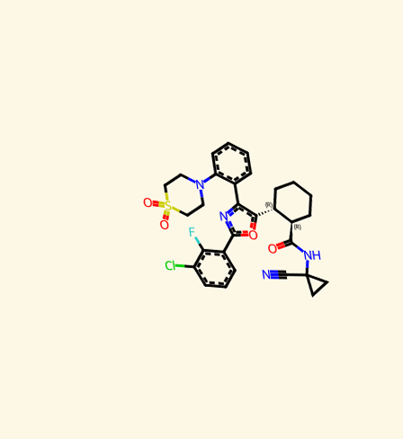 N#CC1(NC(=O)[C@@H]2CCCC[C@H]2c2oc(-c3cccc(Cl)c3F)nc2-c2ccccc2N2CCS(=O)(=O)CC2)CC1